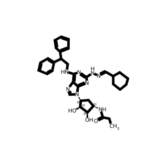 CCC(=O)N[C@H]1C[C@@H](n2cnc3c(NCC(c4ccccc4)c4ccccc4)nc(NN=CC4CCCCC4)nc32)[C@H](O)[C@@H]1O